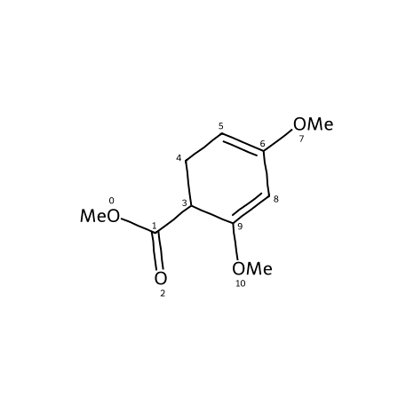 COC(=O)C1CC=C(OC)C=C1OC